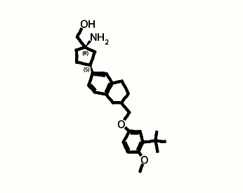 COc1ccc(OCC2CCc3cc([C@H]4CC[C@](N)(CO)C4)ccc3C2)cc1C(C)(C)C